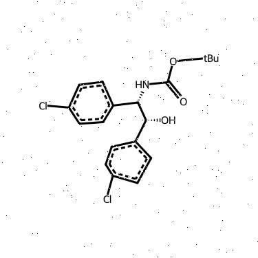 CC(C)(C)OC(=O)N[C@@H](c1ccc(Cl)cc1)[C@H](O)c1ccc(Cl)cc1